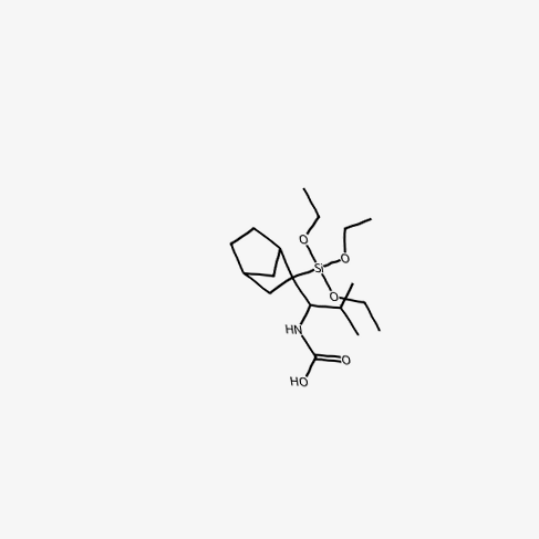 CCO[Si](OCC)(OCC)C1(C(NC(=O)O)[C](C)C)CC2CCC1C2